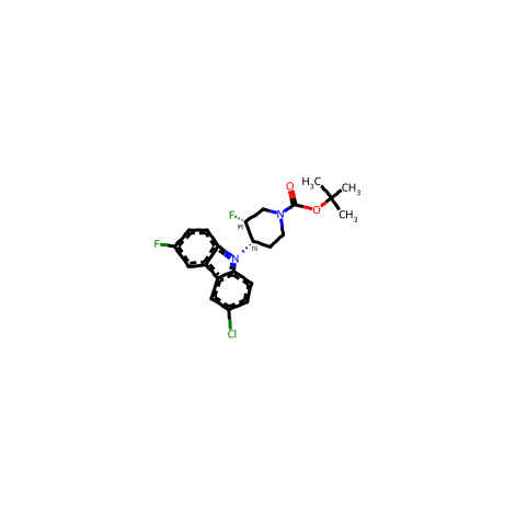 CC(C)(C)OC(=O)N1CC[C@H](n2c3ccc(F)cc3c3cc(Cl)ccc32)[C@H](F)C1